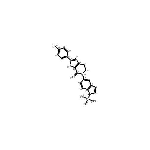 CC(C)[Si](C(C)C)(C(C)C)n1ccc2cc(N3CCc4nc(-c5ccc(Cl)cc5)sc4C3=O)ccc21